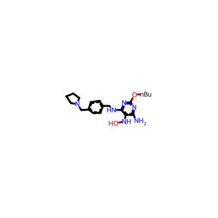 CCCCOc1nc(N)c(NO)c(NCc2ccc(CN3CCCC3)cc2)n1